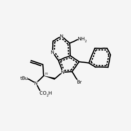 C=C[C@@H](Cn1c(Br)c(-c2ccccc2)c2c(N)ncnc21)N(C(=O)O)C(C)(C)C